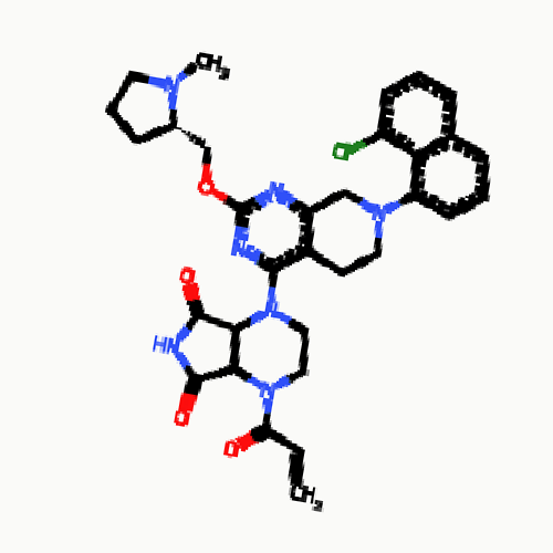 C=CC(=O)N1CCN(c2nc(OC[C@@H]3CCCN3C)nc3c2CCN(c2cccc4cccc(Cl)c24)C3)C2C(=O)NC(=O)C21